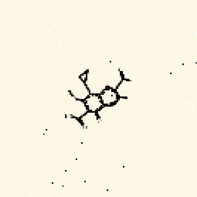 CSc1c(C(=O)O)c(=O)c2cc(F)c(C(C)=O)cc2n1C1CC1